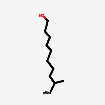 CCCCCCC(C)CCCCCCCCO